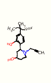 C#CCN1CCC(O)CC1c1ccc(C(C)(C)CCCCCC)cc1O